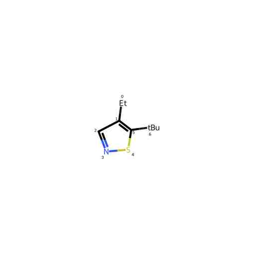 CCc1cnsc1C(C)(C)C